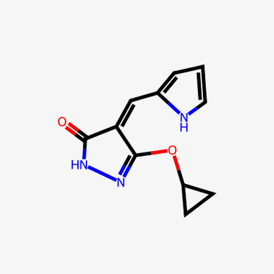 O=C1NN=C(OC2CC2)C1=Cc1ccc[nH]1